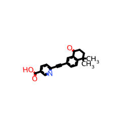 CC1(C)CCC(=O)c2cc(C#Cc3ccc(C(=O)O)cn3)ccc21